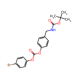 CC(C)(C)OC(=O)NCc1ccc(OC(=O)Oc2ccc(Br)cc2)cc1